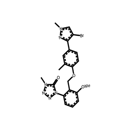 COc1cccc(-n2nnn(C)c2=O)c1COc1ccc(-c2nn(C)cc2Br)cc1C